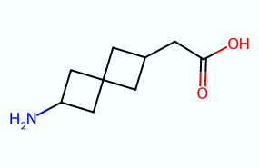 NC1CC2(C1)CC(CC(=O)O)C2